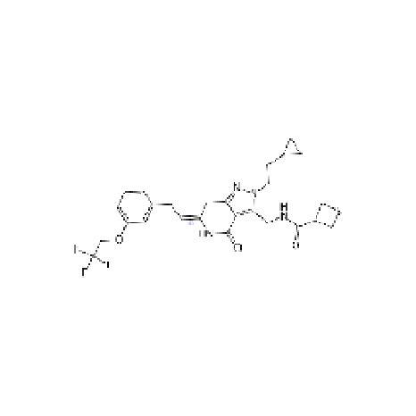 O=C1N/C(=C/Cc2cccc(OCC(F)(F)F)c2)Cc2nn(CCC3CC3)c(CNC(=O)C3CSC3)c21